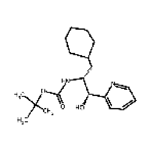 CC(C)(C)OC(=O)N[C@H](CC1CCCCC1)[C@H](O)c1ccccn1